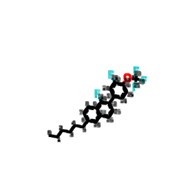 CCCCCCc1ccc2c(F)c(-c3ccc(OC(F)(F)F)c(F)c3)ccc2c1